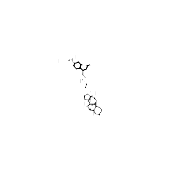 CN(C)c1ccc2c(CCNCCO[C@H]3CC[C@H]4[C@@H]5CC[C@H]6CC(=O)CC[C@]6(C)[C@H]5CC[C@]34C)cc(=O)oc2c1